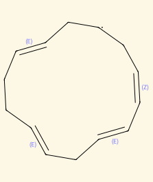 [CH]1C/C=C\C=C\C/C=C/CC/C=C/C1